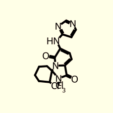 O=C1c2ccc(Nc3ccncn3)c(=O)n2C2(CCCCC2C(F)(F)F)N1Cl